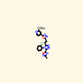 COc1cc(-c2nnc(C=Cc3nnc(-c4nc(C)no4)n3-c3ccccc3Cl)o2)ccn1